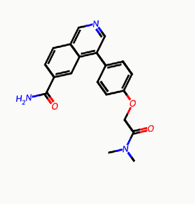 CN(C)C(=O)COc1ccc(-c2cncc3ccc(C(N)=O)cc23)cc1